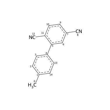 Cc1ccc(-c2cc(C#N)ccc2C#N)cc1